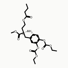 CCCC(=O)OCC[C@@](N)(Cc1ccc(OC(=O)OCC)c(OC(=O)OCC)c1)C(=O)OC